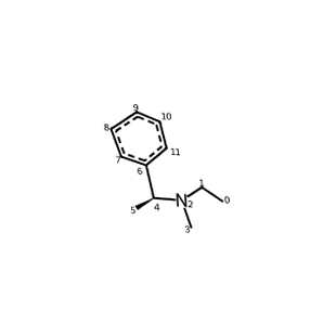 CCN(C)[C@@H](C)c1ccccc1